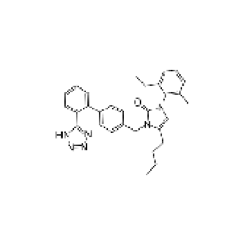 CCCCc1cn(-c2c(C)cccc2CC)c(=O)n1Cc1ccc(-c2ccccc2-c2nnn[nH]2)cc1